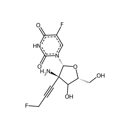 N[C@]1(C#CCF)C(O)[C@@H](CO)O[C@H]1n1cc(F)c(=O)[nH]c1=O